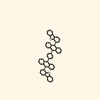 c1ccc2c(c1)oc1c(-c3c4ccccc4c(-c4ccc(-c5c6ccccc6c(-c6cccc7c6oc6ccccc67)c6ccccc56)cc4)c4ccccc34)cccc12